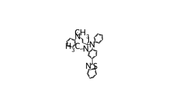 CCN1c2cc(-c3nc4ccccc4s3)ccc2N(c2ccccc2)C1(I)C=CN(C)c1ccccc1